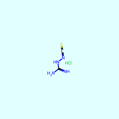 Cl.N=C(N)NN=C=S